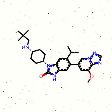 COc1cc(-c2cc3[nH]c(=O)n([C@H]4CC[C@@H](NCC(C)(C)C)CC4)c3cc2C(C)C)cn2ncnc12